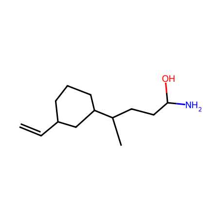 C=CC1CCCC(C(C)CCC(N)O)C1